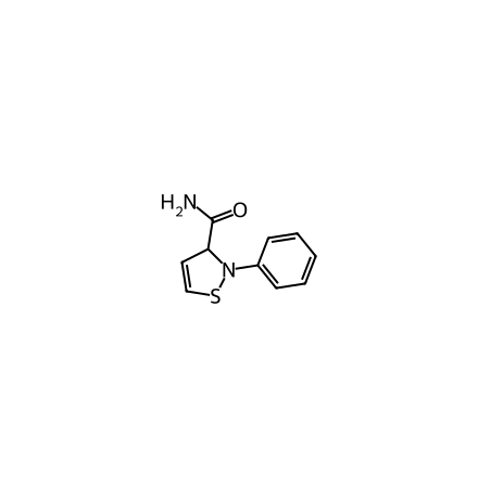 NC(=O)C1C=CSN1c1ccccc1